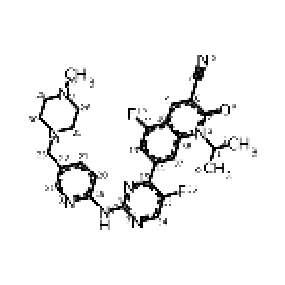 CC(C)n1c(=O)c(C#N)cc2c(F)cc(-c3nc(Nc4ccc(CN5CCN(C)CC5)cn4)ncc3F)cc21